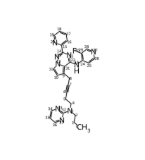 CCCN(CCC#CCc1ccn2nc(-c3ccccn3)nc(Nc3ccncc3F)c12)c1ncccn1